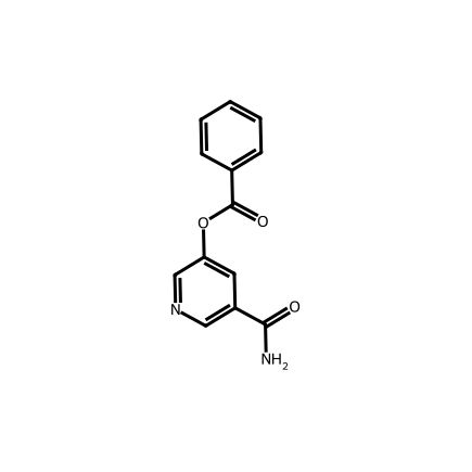 NC(=O)c1cncc(OC(=O)c2ccccc2)c1